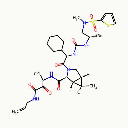 C=CCNC(=O)C(=O)C(CCC)NC(=O)[C@@H]1[C@@H]2[C@H](CN1C(=O)[C@@H](NC(=O)N[C@H](CN(C)S(=O)(=O)c1cccs1)C(C)(C)C)C1CCCCC1)C2(C)C